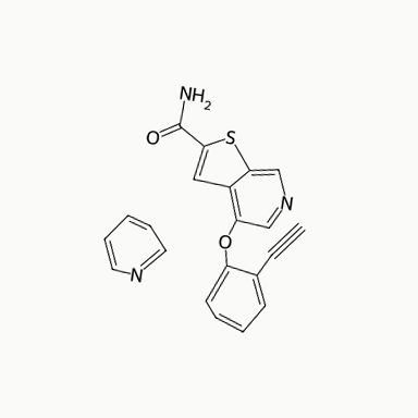 C#Cc1ccccc1Oc1cncc2sc(C(N)=O)cc12.c1ccncc1